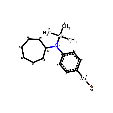 C[Si](C)(C)N(c1cc[c]([Mg][Br])cc1)C1CCCCCC1